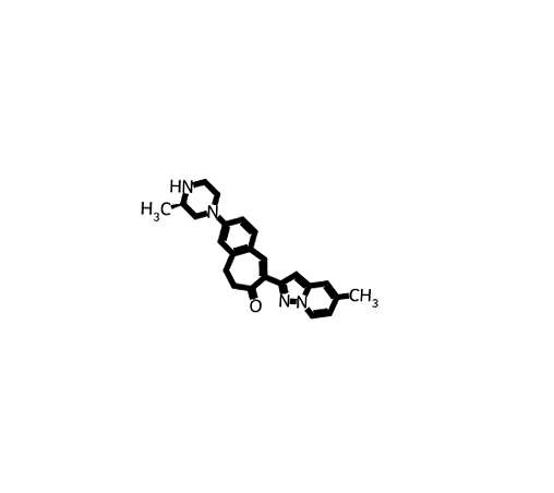 Cc1ccn2nc(C3=Cc4ccc(N5CCN[C@H](C)C5)cc4CCC3=O)cc2c1